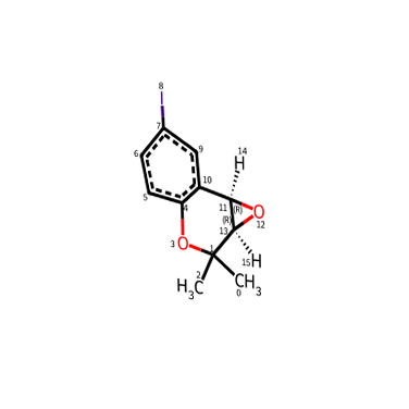 CC1(C)Oc2ccc(I)cc2[C@H]2O[C@H]21